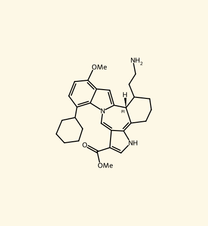 COC(=O)c1c[nH]c2c1=Cn1c(cc3c(OC)ccc(C4CCCCC4)c31)[C@H]1C=2CCCC1CCN